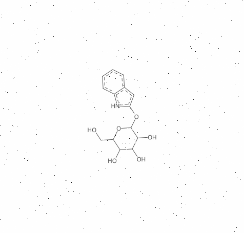 OCC1OC(Oc2cc3ccccc3[nH]2)C(O)C(O)C1O